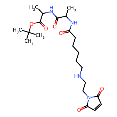 CC(NC(=O)CCCCCNCCN1C(=O)C=CC1=O)C(=O)NC(C)C(=O)OC(C)(C)C